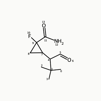 CC(C)(C)C(C=O)C1CC1(F)C(N)=O